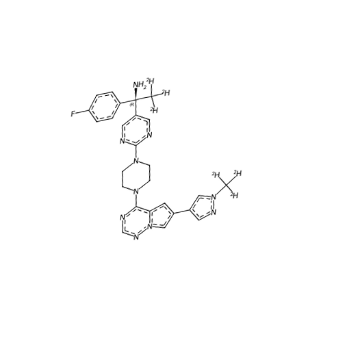 [2H]C([2H])([2H])n1cc(-c2cc3c(N4CCN(c5ncc([C@](N)(c6ccc(F)cc6)C([2H])([2H])[2H])cn5)CC4)ncnn3c2)cn1